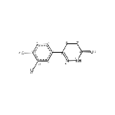 [O]c1ccc(C2=NNC(=O)CC2)cc1Cl